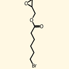 O=C(CCCCCBr)OCC1CO1